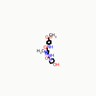 COC(=O)c1ccc(NC(=O)c2cc(NC(=O)N3CCC(O)CC3)nn2C)cc1